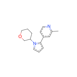 Cc1cc(-c2cccn2C2CCCOC2)ccn1